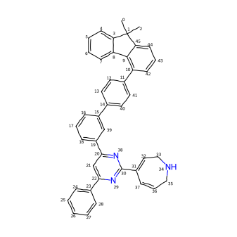 CC1(C)c2ccccc2-c2c(-c3ccc(-c4cccc(-c5cc(-c6ccccc6)nc(C6=CCNCC=C6)n5)c4)cc3)cccc21